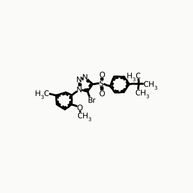 COc1ccc(C)cc1-n1nnc(S(=O)(=O)c2ccc(C(C)(C)C)cc2)c1Br